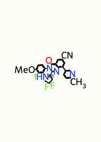 COc1ccc(-n2c([C@H]3CC(F)(F)CN3)nc3c(-c4ccc(C)nc4)cc(C#N)cc3c2=O)cc1F